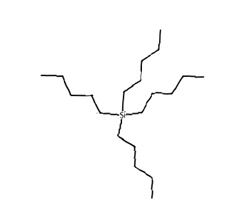 CCCC[CH][Si](CCCCC)(CCCCC)CCCCC